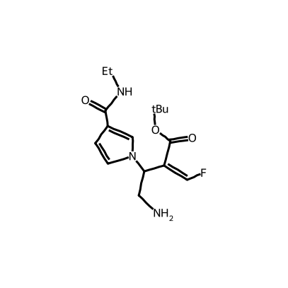 CCNC(=O)c1ccn(C(CN)C(=CF)C(=O)OC(C)(C)C)c1